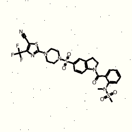 CN(c1ccccc1C(=O)N1CCc2cc(S(=O)(=O)N3CCN(c4nc(C(F)(F)F)c(C#N)s4)CC3)ccc21)S(C)(=O)=O